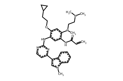 C=CC(=O)Nc1cc(Nc2nccc(-c3cn(C)c4ccccc34)n2)c(OCCC2CC2)cc1N(C)CCN(C)C